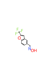 O/N=C/c1ccc2oc(C(F)(F)F)cc2c1